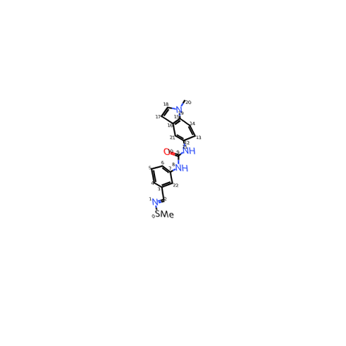 CSN=Cc1cccc(NC(=O)Nc2ccc3c(ccn3C)c2)c1